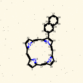 C1=CC2=NC1=CC1=NC(=CC3=NC(=CC4=NC(=C2)C=C4)C=C3c2ccc3ccccc3c2)C=C1